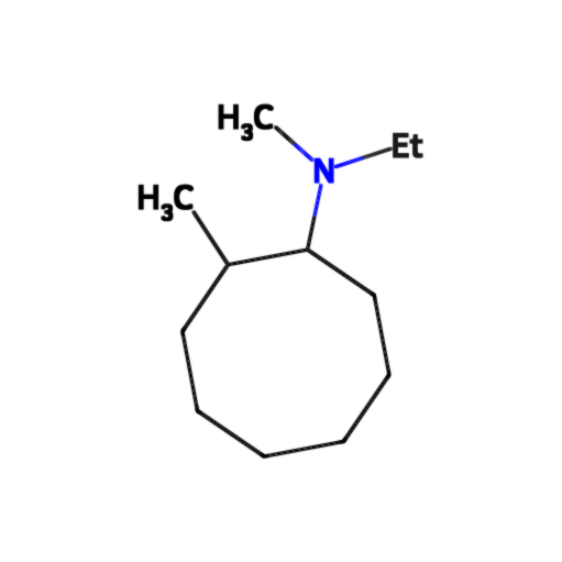 CCN(C)C1CCCCCCC1C